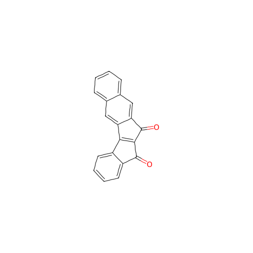 O=c1c2c(=O)c3cc4ccccc4cc3c=2c2ccccc12